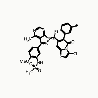 CC[C@@H](c1cc2scc(Cl)n2c(=O)c1-c1cccc(F)c1)n1nc(-c2ccc(OC)c(NS(C)(=O)=O)c2)c2c(N)ncnc21